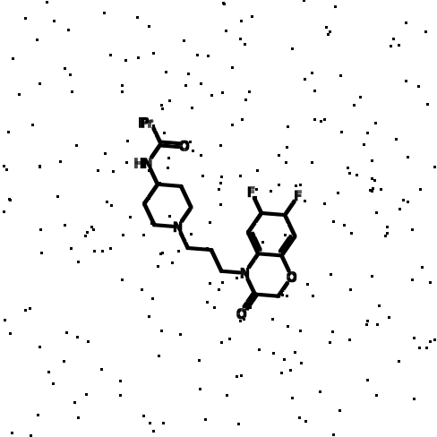 CC(C)C(=O)NC1CCN(CCCN2C(=O)COC3=CC(F)C(F)C=C32)CC1